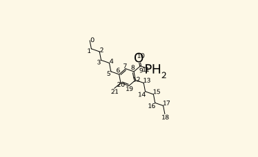 CCCCCCc1cc(C(=O)P)c(CCCCCC)cc1C